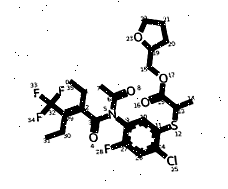 CC/C(C(=O)N(C(C)=O)c1cc(SC(C)C(=O)OCC2CCCO2)c(Cl)cc1F)=C(/CC)C(F)(F)F